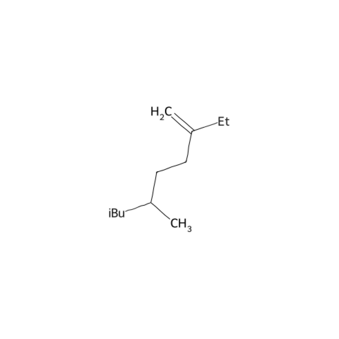 C=C(CC)CCC(C)C(C)CC